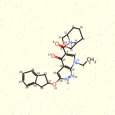 CCn1cc(C(=O)N2C3CCCC2COC3)c(=O)c2cc(OC3Cc4ccccc4C3)nnc21